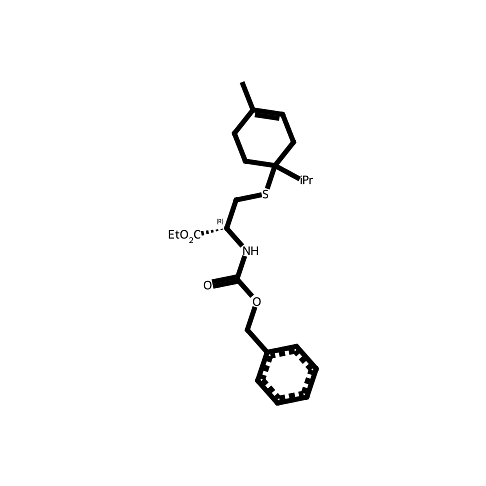 CCOC(=O)[C@H](CSC1(C(C)C)CC=C(C)CC1)NC(=O)OCc1ccccc1